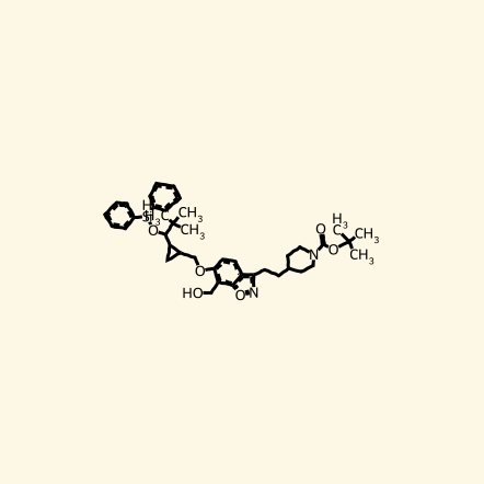 CC(C)(C)OC(=O)N1CCC(CCc2noc3c(CO)c(OCC4CC4C(O[SiH](c4ccccc4)c4ccccc4)C(C)(C)C)ccc23)CC1